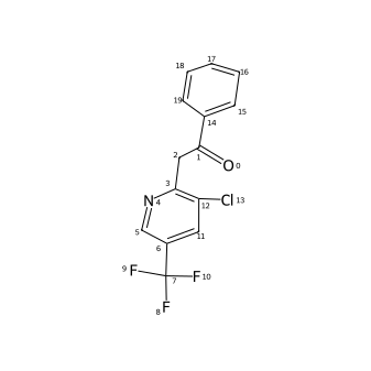 O=C(Cc1ncc(C(F)(F)F)cc1Cl)c1ccccc1